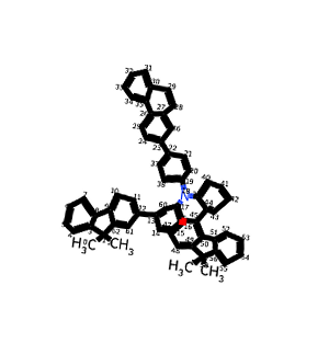 CC1(C)c2ccccc2-c2ccc(-c3cccc(N(c4ccc(-c5ccc6c(ccc7ccccc76)c5)cc4)c4ccccc4-c4cccc5c4-c4ccccc4C5(C)C)c3)cc21